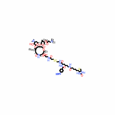 CC[C@H]1OC(=O)[C@H](C)[C@@H](O[C@H]2C[C@@](C)(OC)[C@@H](OC(=O)CCN(CC)CC)[C@H](C)O2)[C@H](C)[C@@H](O[C@@H]2O[C@H](C)C[C@H](N(C)C)[C@H]2O)[C@](C)(OC)C[C@@H](C)C(=O)N[C@H](C)C(OCCCNC(=O)CCSSCCNC(=O)C(CCCCNC(=O)CCCCC2SCC3NC(=O)NC32)NC(=O)c2ccc(N=[N+]=[N-])cc2)[C@]1(C)O